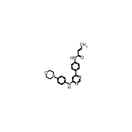 CC=CC(=O)Nc1ccc(-c2cc(Nc3ccc(N4CCOCC4)cc3)ncn2)cc1